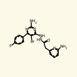 Nc1cccc(CC(=O)NNc2nc(N)nc(-c3ccc(F)cc3)c2Br)n1